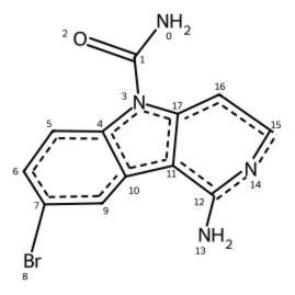 NC(=O)n1c2ccc(Br)cc2c2c(N)nccc21